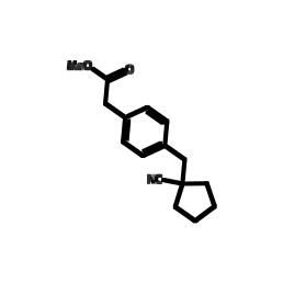 COC(=O)Cc1ccc(CC2(C#N)CCCC2)cc1